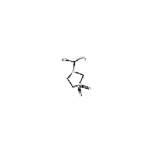 CC(S)N1CCS(=O)(=O)C1